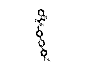 Cc1ccc(N2CCN(c3ccc(CNC(=O)c4cnc5ccccn45)cc3)CC2)cc1